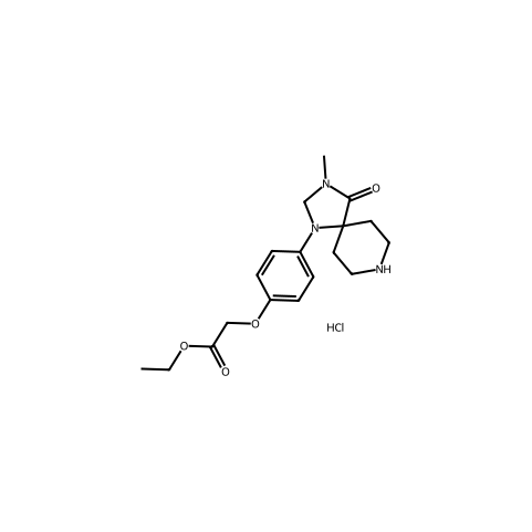 CCOC(=O)COc1ccc(N2CN(C)C(=O)C23CCNCC3)cc1.Cl